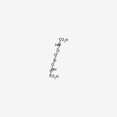 O=C(O)CCONCCOCCOCCOCCOCCNOCCC(=O)O